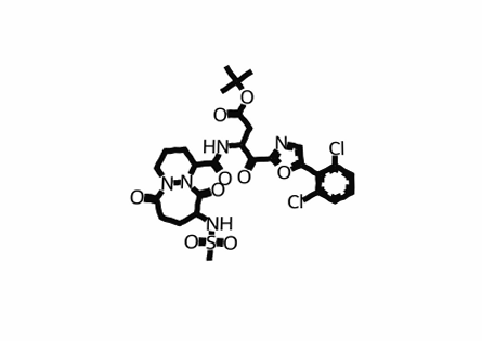 CC(C)(C)OC(=O)CC(NC(=O)C1CCCN2C(=O)CCC(NS(C)(=O)=O)C(=O)N12)C(=O)c1ncc(-c2c(Cl)cccc2Cl)o1